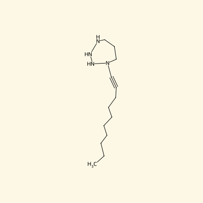 CCCCCCCCC#CN1CCCNNN1